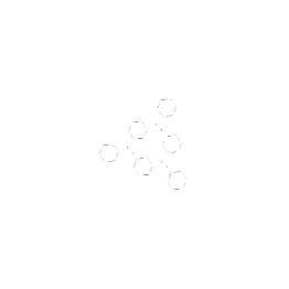 c1ccc(N2c3ccc4c5c3B3c6c(cccc6N6c7ccccc7Oc7ccc2c3c76)N5c2ccccc2O4)cc1